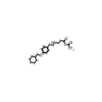 O=C(CCNCCc1ccc(OCC2CCCCC2)cc1)OC(=O)C(F)(F)F